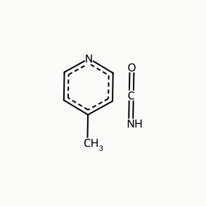 Cc1ccncc1.N=C=O